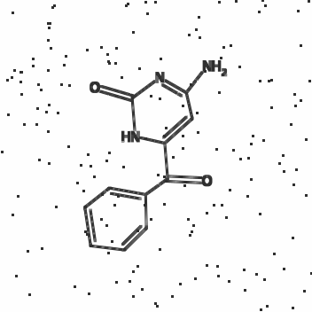 Nc1cc(C(=O)c2ccccc2)[nH]c(=O)n1